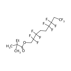 CCC(C)(C)C(=O)OCC(F)(F)C(F)(F)CCC(F)(F)C(F)(F)CC(F)(F)F